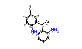 CC(=O)C(c1ccccc1N)c1cc(C)ccc1N